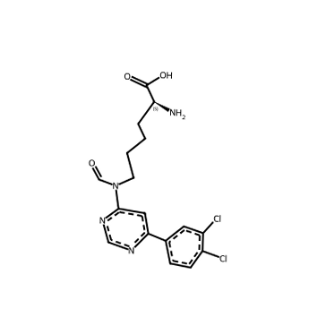 N[C@@H](CCCCN(C=O)c1cc(-c2ccc(Cl)c(Cl)c2)ncn1)C(=O)O